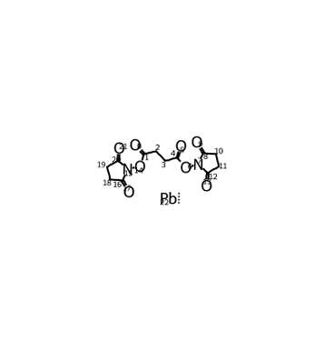 O=C(CCC(=O)ON1C(=O)CCC1=O)ON1C(=O)CCC1=O.[Pb]